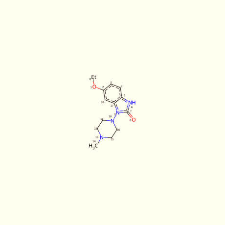 CCOc1ccc2[nH]c(=O)n(N3CCN(C)CC3)c2c1